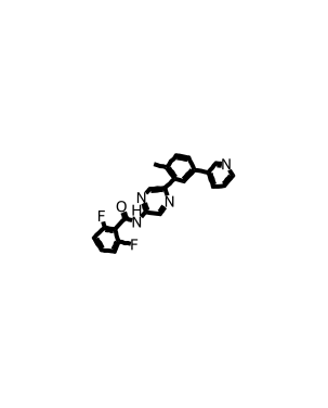 Cc1ccc(-c2cccnc2)cc1-c1cnc(NC(=O)c2c(F)cccc2F)cn1